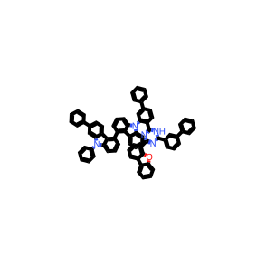 c1ccc(-c2cccc(C3N=C(c4cccc5c4oc4ccccc45)N=C(c4ccc(-c5ccccc5)cc4-n4c5ccccc5c5c(-c6cccc7c6c6ccc(-c8ccccc8)cc6n7-c6ccccc6)cccc54)N3)c2)cc1